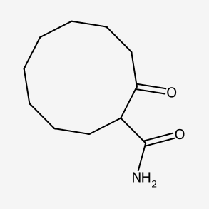 NC(=O)C1CCCCCCCCC1=O